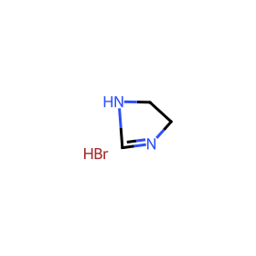 Br.C1=NCCN1